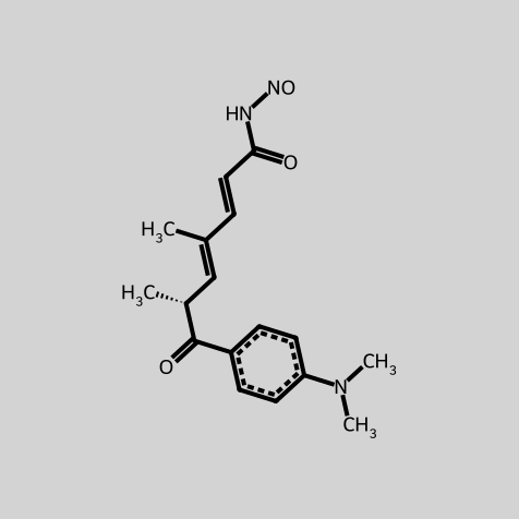 CC(/C=C/C(=O)NN=O)=C\[C@@H](C)C(=O)c1ccc(N(C)C)cc1